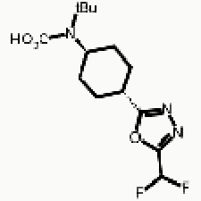 CC(C)(C)N(C(=O)O)[C@H]1CC[C@H](c2nnc(C(F)F)o2)CC1